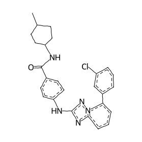 CC1CCC(NC(=O)c2ccc(Nc3nc4cccc(-c5cccc(Cl)c5)n4n3)cc2)CC1